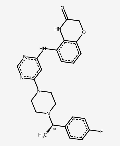 C[C@H](c1ccc(F)cc1)N1CCN(c2cc(Nc3cccc4c3NC(=O)CO4)ncn2)CC1